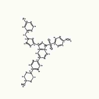 Cc1ccc(S(=O)(=O)n2cc(-c3cnn(Cc4cccc(F)c4)c3)c3cc(-c4ccc(N5CCC(O)CC5)nc4)cnc32)cc1